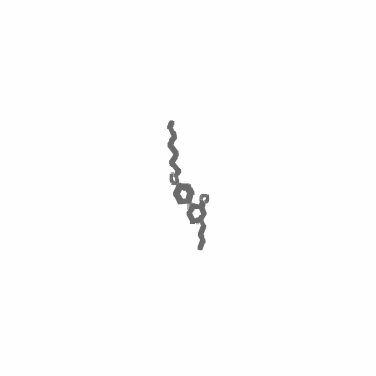 CCCCCCCOc1ccc([C@H]2CC[C@H](CCCC)CC2=O)cc1